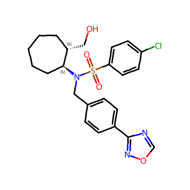 O=S(=O)(c1ccc(Cl)cc1)N(Cc1ccc(-c2ncon2)cc1)[C@H]1CCCCC[C@@H]1CO